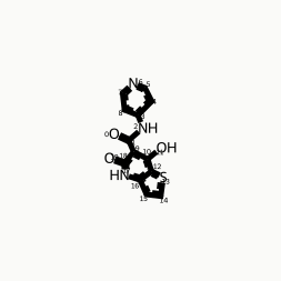 O=C(Nc1ccncc1)c1c(O)c2sccc2[nH]c1=O